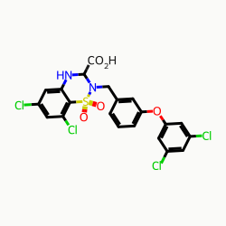 O=C(O)C1Nc2cc(Cl)cc(Cl)c2S(=O)(=O)N1Cc1cccc(Oc2cc(Cl)cc(Cl)c2)c1